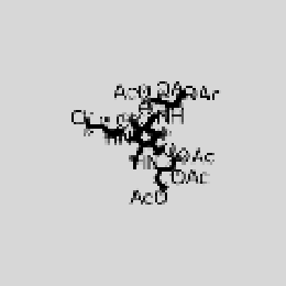 CC(=O)OCCC(NC(=O)c1c(I)c(NC(=O)CCCCl)c(I)c(C(=O)NC(CCOC(C)=O)C(COC(C)=O)OC(C)=O)c1I)C(COC(C)=O)OC(C)=O